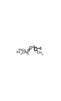 CC[C@H](CO)C(=O)N1CC2(CCC(Oc3ccc(C)c(C4CC4)c3)C2)C1